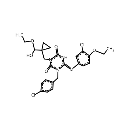 CCOc1ccc(/N=c2\[nH]c(=O)n(CC3(C(O)OCC)CC3)c(=O)n2Cc2ccc(Cl)cc2)cc1Cl